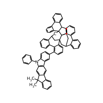 CC1(C)c2ccccc2-c2cc3c4cc(-c5cccc6c5-c5ccccc5C5CC67CC6CC8CC9c%10ccccc%10-c%10ccccc%10C9(C5)C87c5ccccc5-c5ccccc56)ccc4n(-c4ccccc4)c3cc21